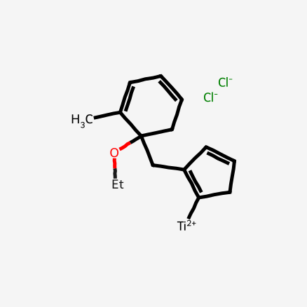 CCOC1(CC2=[C]([Ti+2])CC=C2)CC=CC=C1C.[Cl-].[Cl-]